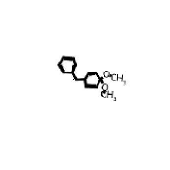 COC1(OC)C=CC([CH]c2ccccc2)C=C1